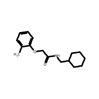 Cc1ccccc1OCC(=O)NCC1CCCCC1